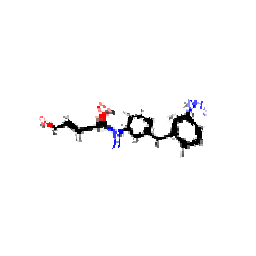 Nc1cccc(Cc2cccc(NC(=O)/C=C/C=O)c2)c1